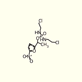 CC(OP(=O)(NCCCl)NCCCl)c1ccc([N+](=O)[O-])o1